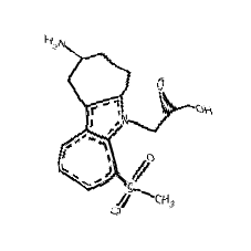 CS(=O)(=O)c1cccc2c3c(n(CC(=O)O)c12)CCC(N)C3